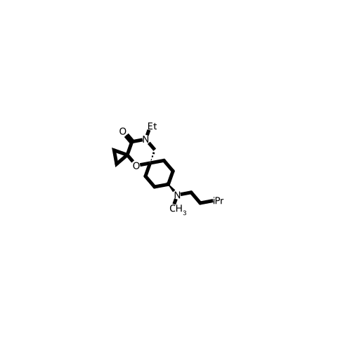 CCN1C[C@]2(CC[C@H](N(C)CCC(C)C)CC2)OC2(CC2)C1=O